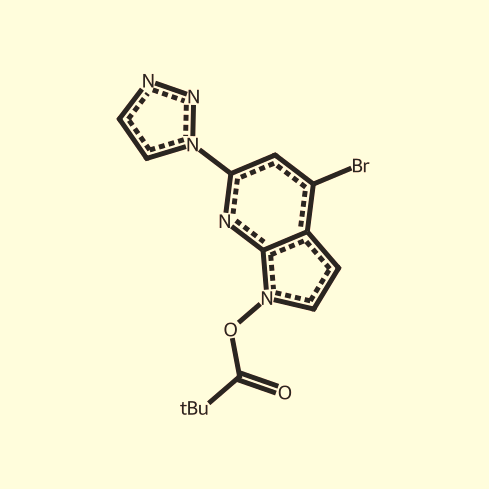 CC(C)(C)C(=O)On1ccc2c(Br)cc(-n3ccnn3)nc21